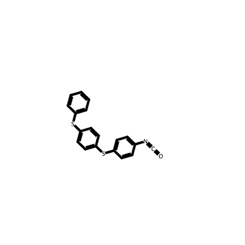 O=C=Nc1ccc(Sc2ccc(Sc3ccccc3)cc2)cc1